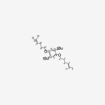 CC(C)=CCCCOc1cc(C(C)(C)C)c(OCCCC=C(C)C)cc1C(C)(C)C